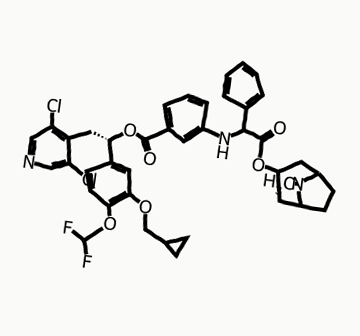 CN1C2CCC1CC(OC(=O)C(Nc1cccc(C(=O)O[C@@H](Cc3c(Cl)cncc3Cl)c3ccc(OC(F)F)c(OCC4CC4)c3)c1)c1ccccc1)C2